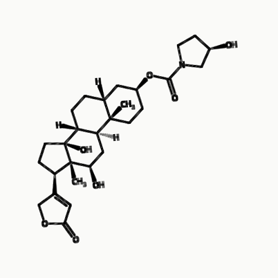 C[C@]12CC[C@H](OC(=O)N3CC[C@@H](O)C3)C[C@H]1CC[C@@H]1[C@@H]2C[C@@H](O)[C@]2(C)[C@@H](C3=CC(=O)OC3)CC[C@]12O